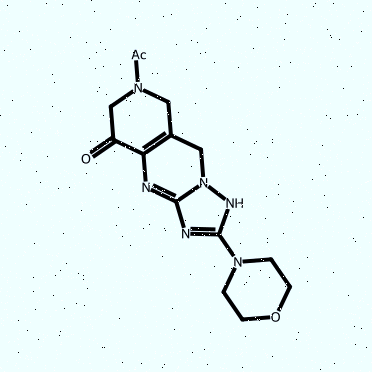 CC(=O)N1CC(=O)C2=C(C1)CN1NC(N3CCOCC3)=NC1=N2